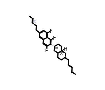 C/C=C/CCc1cc(F)c2c(F)c([C@@H]3CC[C@@H]4CC(CCCCC)CCC4C3)c(F)cc2c1